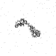 O=C1CCc2cnc(OCCCCN3CCN(c4cccc5c4OCCO5)CC3)cc2N1